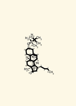 CCCC[C@H]1CC(=O)[C@@]2(C)CC[C@H]3[C@@H](CC=C4C[C@@H](O[Si](C)(C)C(C)(C)C)CC[C@@]43C)[C@H]12